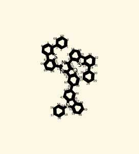 c1ccc(-c2cccc3c2sc2c(-c4nc(-c5cccc6c5sc5c(-c7ccccc7)cccc56)c5oc6ccc(-c7ccc8c(c7)c7ccccc7n8-c7ccccc7)cc6c5n4)cccc23)cc1